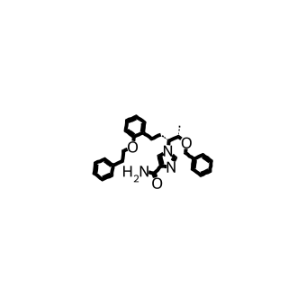 C[C@H](OCc1ccccc1)[C@@H](CCc1ccccc1OCCc1ccccc1)n1cnc(C(N)=O)c1